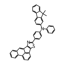 CC1(C)c2ccccc2-c2ccc(N(c3ccccc3)c3ccc(-c4nc5c(s4)-c4cccc6c4c-5cc4ccccc46)cc3)cc21